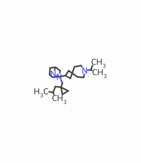 CC(C)CC1(CN2CC3CC(C2)N3CC2CC3(CCN(C(C)C)CC3)C2)CC1